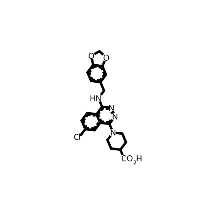 O=C(O)C1CCN(c2nnc(NCc3ccc4c(c3)OCO4)c3ccc(Cl)cc23)CC1